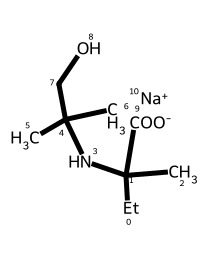 CCC(C)(NC(C)(C)CO)C(=O)[O-].[Na+]